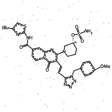 COc1ccc(Cn2nnnc2C=Cc2c(N3CCC[C@@H](OS(N)(=O)=O)C3)nc3cc(C(=O)Nc4nc(C(C)(C)C)cs4)ccn3c2=O)cc1